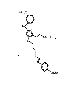 COc1ccc(/C=C/CCCCOc2cc(C(=O)c3cccc(C(=O)O)c3)sc2CCC(=O)O)cc1